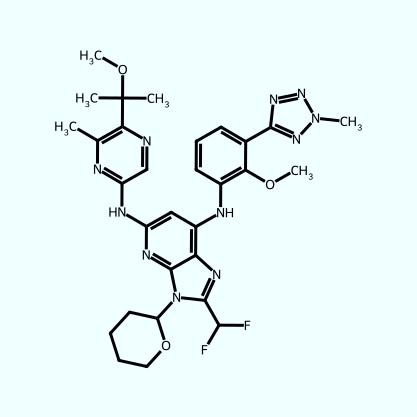 COc1c(Nc2cc(Nc3cnc(C(C)(C)OC)c(C)n3)nc3c2nc(C(F)F)n3C2CCCCO2)cccc1-c1nnn(C)n1